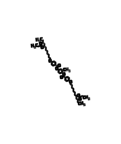 C=CC(=O)OC(CCCC)CCCCCCCOc1ccc(C(=O)Oc2ccc(OC(=O)c3ccc(OCCCCCCCC(CCCC)OC(=O)C=C)cc3)c(C)c2)cc1